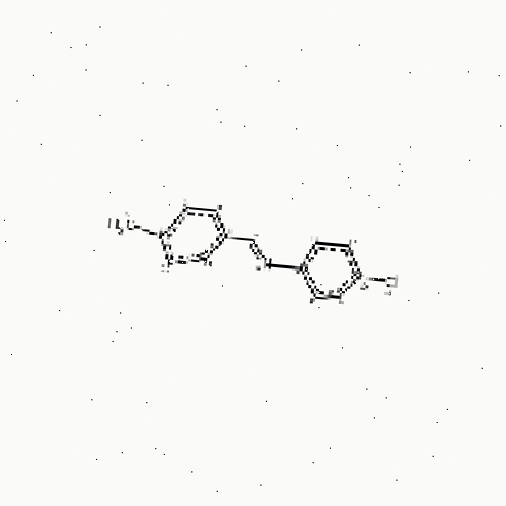 Cc1ccc(C=Nc2ccc(Cl)cc2)cc1